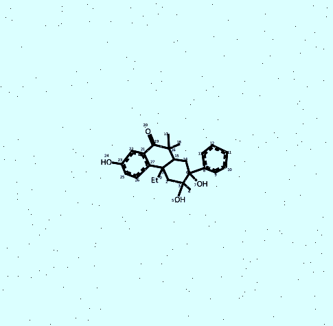 CCC12CC(C)(O)C(O)(c3ccccc3)CC1C(C)(C)C(=O)c1cc(O)ccc12